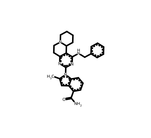 Cc1cc2c(C(N)=O)cccc2n1-c1nc2c(c(NCc3ccccc3)n1)C1CCCCN1CC2